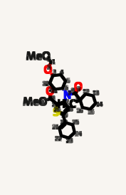 COCO[C@H]1CC[C@H](N(C(=O)C2(C)CCCCC2)c2cc(C3=CCCCC3)sc2C(=O)OC)CC1